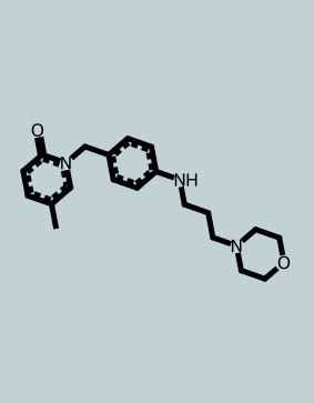 Cc1ccc(=O)n(Cc2ccc(NCCCN3CCOCC3)cc2)c1